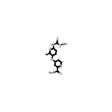 CNC(=O)c1cc(Oc2ccc(NC(=O)OC(C)(C)C)nc2C)ccn1